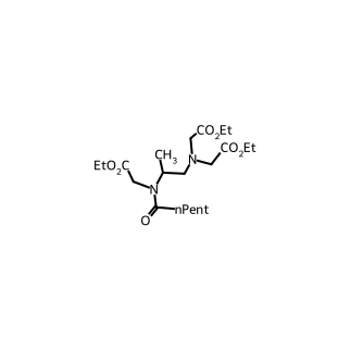 CCCCCC(=O)N(CC(=O)OCC)C(C)CN(CC(=O)OCC)CC(=O)OCC